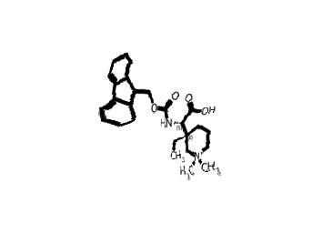 CC[C@@]1([C@H](NC(=O)OCC2c3ccccc3-c3ccccc32)C(=O)O)CCC[N+](C)(C)C1